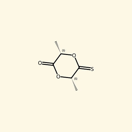 C[C@@H]1OC(=S)[C@H](C)OC1=O